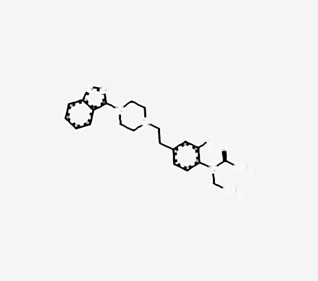 CCN(C(C)=O)c1ccc(CCN2CCN(c3nsc4ccccc34)CC2)cc1C